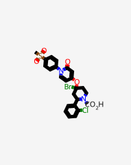 CS(=O)(=O)c1ccc(-n2ccc(OC3(Br)CCN(C(=O)O)C(c4ccccc4Cl)C3)cc2=O)cc1